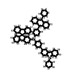 c1ccc(-c2c3ccccc3c(-c3ccc(N(c4ccc(-c5ccc6c(c5)c5ccccc5n6-c5ccccc5)cc4)c4ccc5c(c4)C4(c6ccccc6-c6ccccc64)c4ccccc4-5)cc3)c3ccccc23)cc1